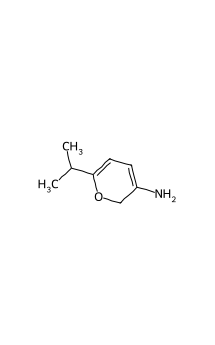 CC(C)C1=CC=C(N)CO1